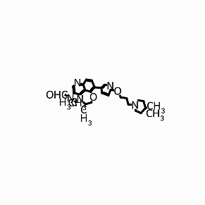 C[C@H]1COc2c(-c3ccc(OCCCN4CCC(C)(C)CC4)nc3)ccc3ncc(N(C)C=O)c(c23)N1C